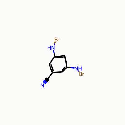 N#Cc1cc(NBr)cc(NBr)c1